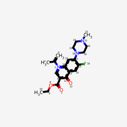 C=C(C)n1cc(C(=O)OCC)c(=O)c2cc(F)c(N3CCN(C)CC3)cc21